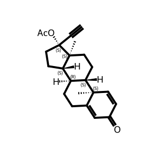 C#C[C@]1(OC(C)=O)CC[C@H]2[C@@H]3CCC4=CC(=O)C=C[C@]4(C)[C@H]3CC[C@@]21C